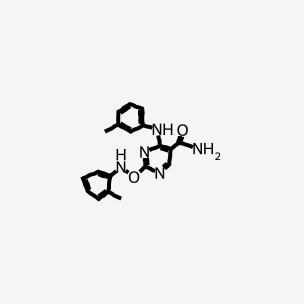 Cc1cccc(Nc2nc(ONc3ccccc3C)ncc2C(N)=O)c1